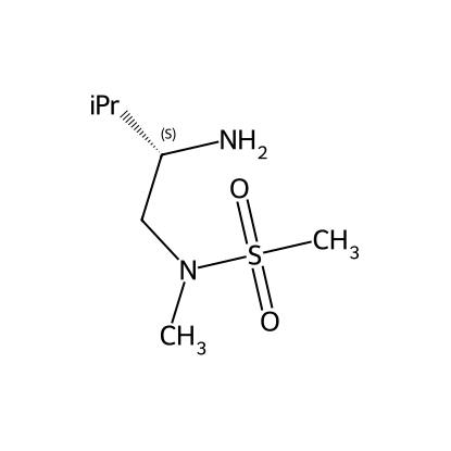 CC(C)[C@H](N)CN(C)S(C)(=O)=O